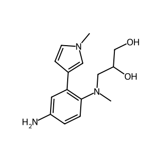 CN(CC(O)CO)c1ccc(N)cc1-c1ccn(C)c1